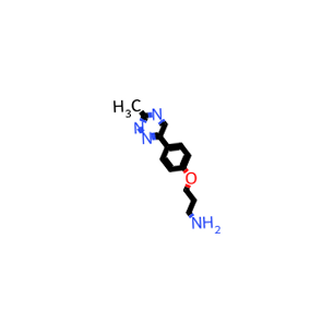 Cc1ncc(-c2ccc(OCCCN)cc2)nn1